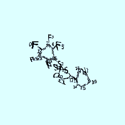 Fc1c(F)c(F)c(S[P@]2(=S)OC[C@H](c3ccccc3)S2)c(F)c1F